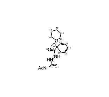 CC(=O)NC(=S)NNC(=O)C1(OC2CCCCC2)C=CC=CC1